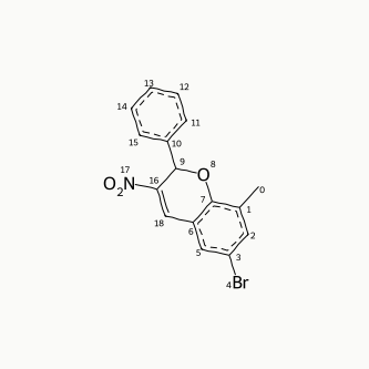 Cc1cc(Br)cc2c1OC(c1ccccc1)C([N+](=O)[O-])=C2